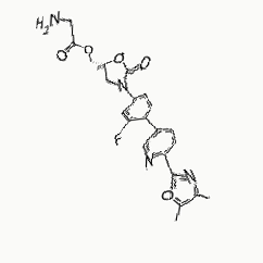 Cc1nc(-c2ccc(-c3ccc(N4C[C@H](COC(=O)CN)OC4=O)cc3F)cn2)oc1C